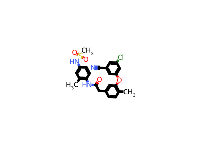 Cc1cc(NS(C)(=O)=O)ccc1NC(=O)Cc1ccc(C)c(Oc2cc(Cl)cc(C#N)c2)c1